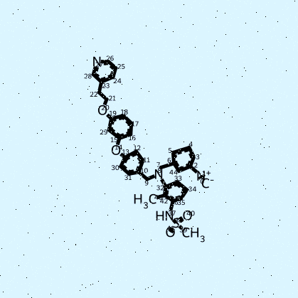 [C-]#[N+]c1cccc(CN(Cc2ccc(Oc3cccc(OCCc4cccnc4)c3)cc2)c2cccc(NS(C)(=O)=O)c2C)c1